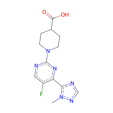 Cn1ncnc1-c1nc(N2CCC(C(=O)O)CC2)ncc1F